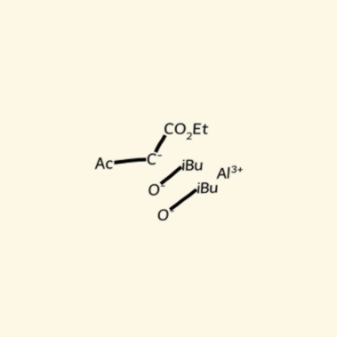 CCC(C)[O-].CCC(C)[O-].CCOC(=O)[CH-]C(C)=O.[Al+3]